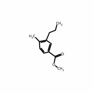 CCCc1cc(C(=O)OC)ccc1C